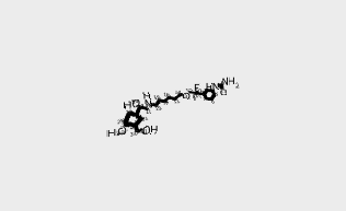 NC(=O)Nc1cccc(C(F)(F)COCCCCCCNC[C@H](O)c2ccc(O)c(CO)c2)c1